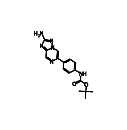 CC(C)(C)OC(=O)Nc1ccc(-c2cn3nc(N)nc3cn2)cc1